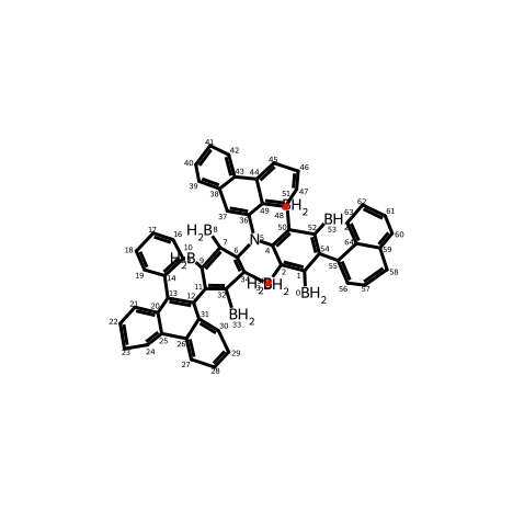 Bc1c(B)c(N(c2c(B)c(B)c(-c3c(-c4ccccc4)c4ccccc4c4ccccc34)c(B)c2B)c2cc3ccccc3c3ccccc23)c(B)c(B)c1-c1cccc2ccccc12